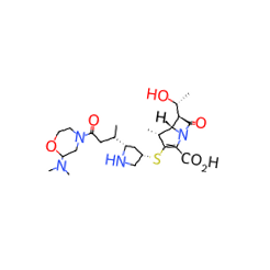 CC(CC(=O)N1CCOC(N(C)C)C1)[C@@H]1C[C@H](SC2=C(C(=O)O)N3C(=O)[C@H]([C@@H](C)O)[C@H]3[C@H]2C)CN1